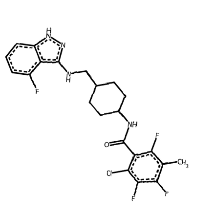 Cc1c(F)c(F)c(Cl)c(C(=O)NC2CCC(CNc3n[nH]c4cccc(F)c34)CC2)c1F